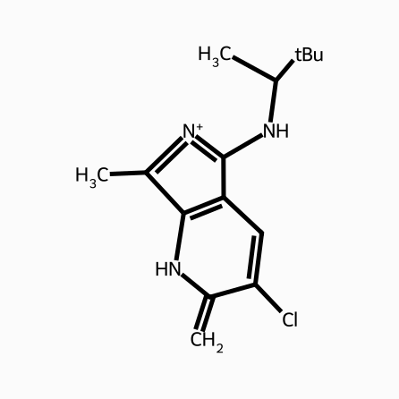 C=C1NC2=C(C=C1Cl)C(NC(C)C(C)(C)C)=[N+]=C2C